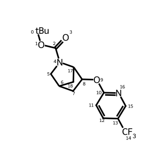 CC(C)(C)OC(=O)N1CC2CC(Oc3ccc(C(F)(F)F)cn3)C1C2